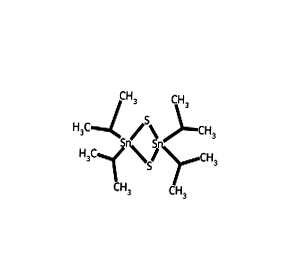 C[CH](C)[Sn]1([CH](C)C)[S][Sn]([CH](C)C)([CH](C)C)[S]1